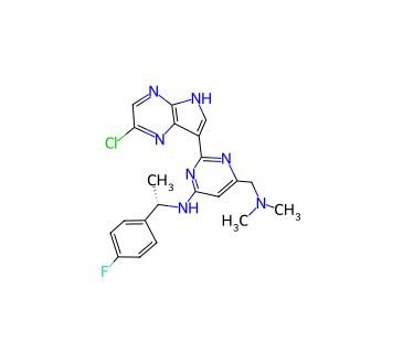 C[C@H](Nc1cc(CN(C)C)nc(-c2c[nH]c3ncc(Cl)nc23)n1)c1ccc(F)cc1